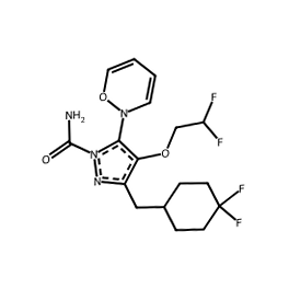 NC(=O)n1nc(CC2CCC(F)(F)CC2)c(OCC(F)F)c1N1C=CC=CO1